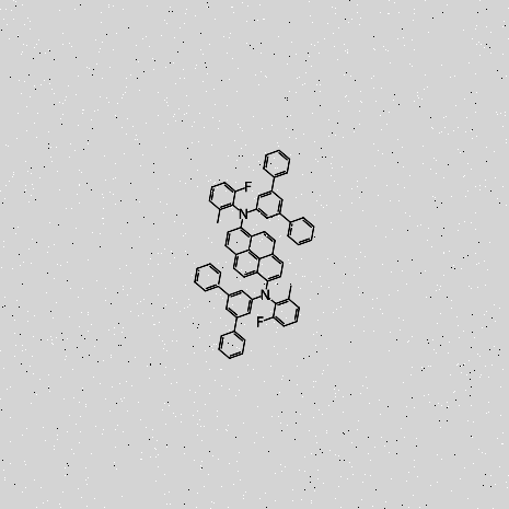 Cc1cccc(F)c1N(c1cc(-c2ccccc2)cc(-c2ccccc2)c1)c1ccc2ccc3c(N(c4cc(-c5ccccc5)cc(-c5ccccc5)c4)c4c(C)cccc4F)ccc4ccc1c2c43